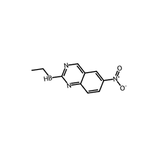 CCBc1ncc2cc([N+](=O)[O-])ccc2n1